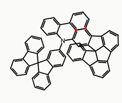 c1ccc(-c2ccccc2N(c2ccc3c(c2)C2(c4ccccc4-c4ccccc42)c2ccccc2-3)c2ccc3c(c2)C24c5ccccc5-c5cccc(c52)-c2cccc-3c24)cc1